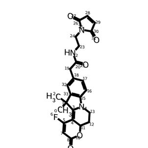 CC1(C)C2=C3C(F)=CC(=O)OC3CCN2c2ccc(CC(=O)NCCN3C(=O)C=CC3=O)cc21